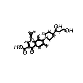 Cc1c(N2CCC(C(O)CCO)CC2)c(F)cc2c(=O)c(C(=O)O)cn(C3CC3)c12